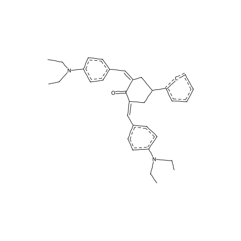 CCN(CC)c1ccc(/C=C2/CC(c3ccccc3)C/C(=C\c3ccc(N(CC)CC)cc3)C2=O)cc1